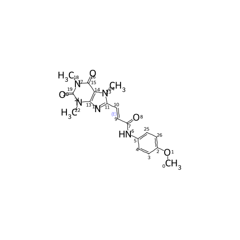 COc1ccc(NC(=O)/C=C/c2nc3c(c(=O)n(C)c(=O)n3C)n2C)cc1